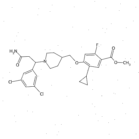 COC(=O)c1cc(C2CC2)c(OCC2CCN(C(CC(N)=O)c3cc(Cl)cc(Cl)c3)CC2)cc1F